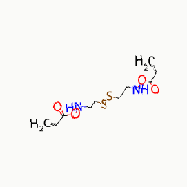 C=CC(=O)ONCCSSCCNOC(=O)C=C